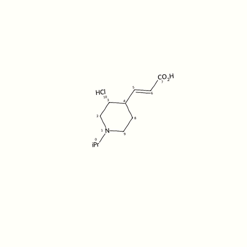 CC(C)N1CCC(C=CC(=O)O)CC1.Cl